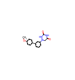 COc1ccc(-c2cccc(N3CC(=O)NC(=O)N3)c2)cc1